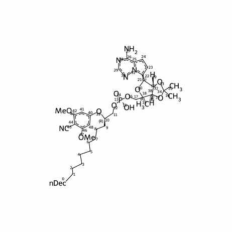 CCCCCCCCCCCCCCCCCCC[C@H](COP(=O)(O)OC[C@@]1(C)O[C@@H](c2ccc3c(N)ncnn23)[C@@H]2OC(C)(C)O[C@@H]21)Oc1cc(OC)c(C#N)c(OC)c1